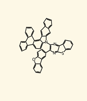 c1ccc2cc3c(cc2c1)c1c2c4ccccc4c4ccccc4c2ccc1n3-c1nc2c(nc1-c1ccc3oc4ccccc4c3c1)sc1ccccc12